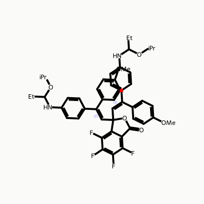 CCC(Nc1ccc(/C(=C/C2(/C=C(/c3ccc(NC(CC)OC(C)C)cc3)c3ccc(OC)cc3)OC(=O)c3c(F)c(F)c(F)c(F)c32)c2ccc(OC)cc2)cc1)OC(C)C